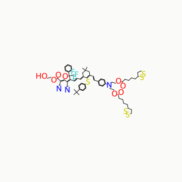 CC1(C)CC(/C=C/c2ccc(N(CCOC(=O)CCCCC3CCSS3)CCOC(=O)CCCCC3CCSS3)cc2)=C(Sc2ccc(C(C)(C)C)cc2)C(=C/C=C/C2=C(C#N)C(=C(\C#N)C(=O)OCCO)/OC2(c2ccccc2)C(F)(F)F)/C1